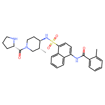 Cc1ccccc1C(=O)Nc1ccc(S(=O)(=O)N[C@@H]2CCN(C(=O)[C@@H]3CCCN3)C[C@H]2C)c2ccccc12